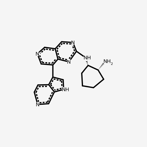 N[C@@H]1CCCC[C@@H]1Nc1ncc2cncc(-c3c[nH]c4cnccc34)c2n1